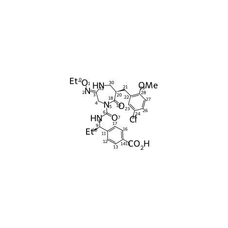 CCO/N=C1/CN(C(=O)N[C@H](CC)c2ccc(C(=O)O)cc2)C(=O)[C@H](Cc2cc(Cl)ccc2OC)CN1